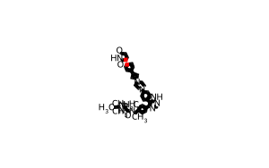 Cc1cc(-c2ncnc3[nH]c4c(c23)CCC(N2CCN(C3CC(c5ccc([C@H]6CCC(=O)NC6=O)cc5)C3)CC2)C4)ccc1[C@@H](C)NC(=O)c1nc(C(C)(C)C)no1